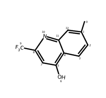 Cc1ccc2c(O)cc(C(F)(F)F)nc2c1